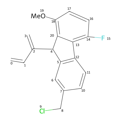 C=CC(=C)C1c2cc(CCl)ccc2-c2c(F)ccc(OC)c21